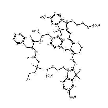 CC(C)CCC(C)(C)CC(=O)N[C@@H](Cc1ccccc1)C(=O)N[C@@H](Cc1ccc(OC2=C(/C=C/C3=[N+](CCCCS(=O)(=O)O)c4ccc(S(=O)(=O)O)cc4C3(C)C)CCC/C2=C\C=C2\N(CCCCS(=O)(=O)O)c3ccc(S(=O)(=O)O)cc3C2(C)C)cc1)C(=O)O